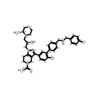 C[C@H]1COCCN1C[C@@H](O)Cn1nc(-c2ccc(Cl)c(-c3ccc(CNCc4ccc(Cl)cc4)cc3)c2)c2c1CCN(C(N)=O)C2